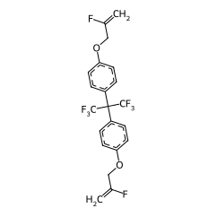 C=C(F)COc1ccc(C(c2ccc(OCC(=C)F)cc2)(C(F)(F)F)C(F)(F)F)cc1